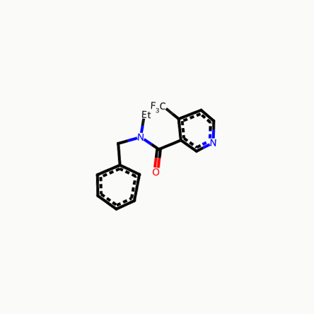 CCN(Cc1ccccc1)C(=O)c1cnccc1C(F)(F)F